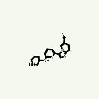 N#Cc1ccc2ncc(-c3cccc(NC4CCCNC4)n3)n2c1